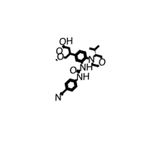 COCC(CC(=O)O)c1ccc(N2CCOC[C@H]2C(C)C)c(NC(=O)Nc2ccc(C#N)cc2)c1